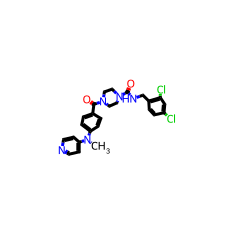 CN(c1ccncc1)c1ccc(C(=O)N2CCN(C(=O)NCc3ccc(Cl)cc3Cl)CC2)cc1